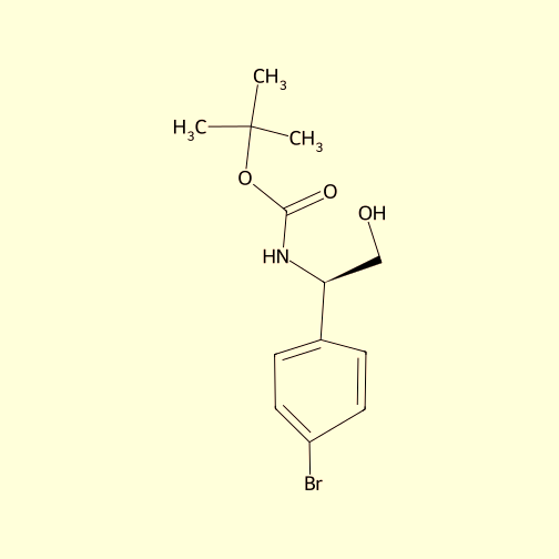 CC(C)(C)OC(=O)N[C@@H](CO)c1ccc(Br)cc1